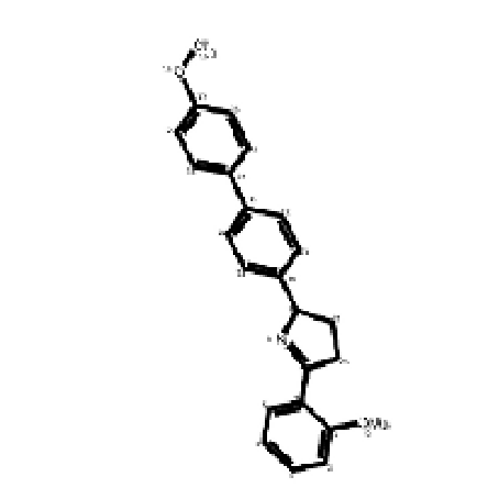 COc1ccccc1C1=NC(c2ccc(-c3ccc(OC(F)(F)F)cc3)cc2)CC1